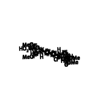 COC[C@H]1C[C@@H](c2ncc(-c3ccc(-c4ccc(-c5[nH]c([C@@H]6CC[C@H](C)N6C(=O)[C@@](N)(NC(=O)OC)[C@@H](C)OC)nc5Cl)cc4)cc3)[nH]2)N(C(=O)[C@@H](NC(=O)O)[C@@H](C)OC)C1